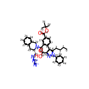 CCCCc1c(-c2ccc(C(=O)OC(C)(C)C)cc2C(=O)N2Cc3ccccc3C[C@H]2CN=[N+]=[N-])c(C(=O)O)nn1-c1ccccc1